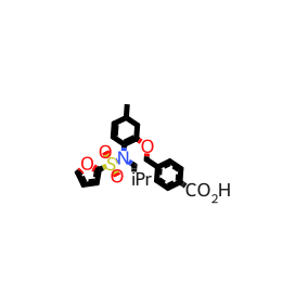 CC(C)CN(C1=C(OCc2ccc(C(=O)O)cc2)CC(C)C=C1)S(=O)(=O)c1ccco1